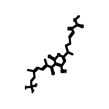 COC(=O)N/C=C/CCC(C)c1cc(O)c(C(=O)/C(C)=C/C=C(/C)CCC(F)(F)F)c(=O)o1